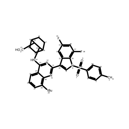 Cc1ccc(S(=O)(=O)n2cc(-c3nc(NC4C5CCC(CC5)C4C(=O)O)c4cccc(C(C)(C)C)c4n3)c3cc(F)cc(F)c32)cc1